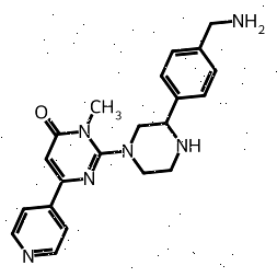 Cn1c(N2CCNC(c3ccc(CN)cc3)C2)nc(-c2ccncc2)cc1=O